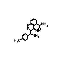 Cc1ccc(/C(N)=C(\F)C(=N)c2c(F)cccc2C(N)=O)cc1